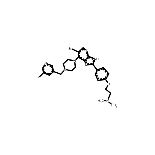 CN(C)CCOc1ccc(-c2nc3c(N4CCN(Cc5cncc(F)c5)CC4)c(Br)cnc3[nH]2)cc1